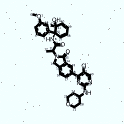 COc1cccc([C@@]2(NC(=O)C(C)N3Cc4ccc(-c5nc(NC6CCOCC6)ncc5Cl)cc4C3=O)C=CC=CC2(C)O)c1